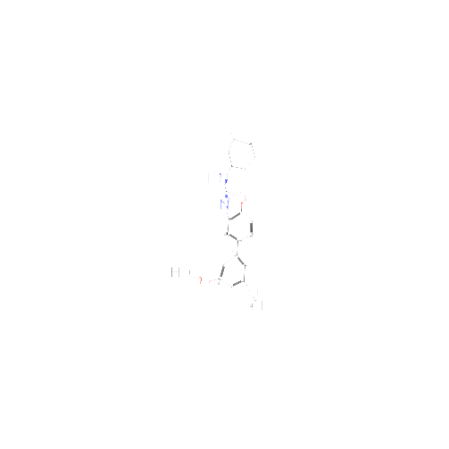 COc1cc(OC)cc(-c2ccc3oc(NC4CCCCC4)nc3c2)c1